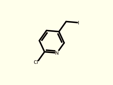 Clc1ccc(CI)cn1